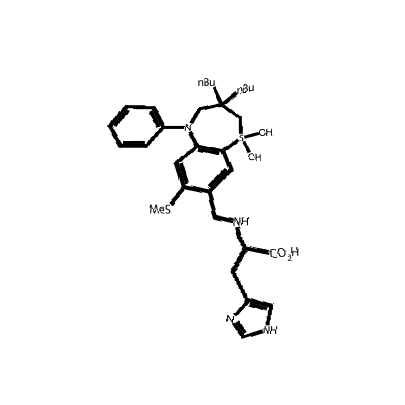 CCCCC1(CCCC)CN(c2ccccc2)c2cc(SC)c(CNC(Cc3c[nH]cn3)C(=O)O)cc2S(O)(O)C1